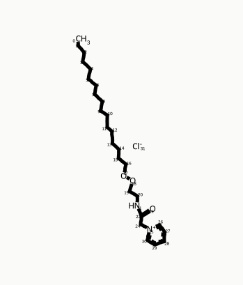 CCCCCCCCCCCCCCCCCOOCCNC(=O)C[n+]1ccccc1.[Cl-]